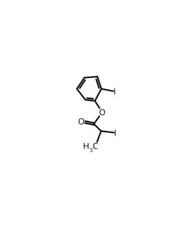 CC(I)C(=O)Oc1ccccc1I